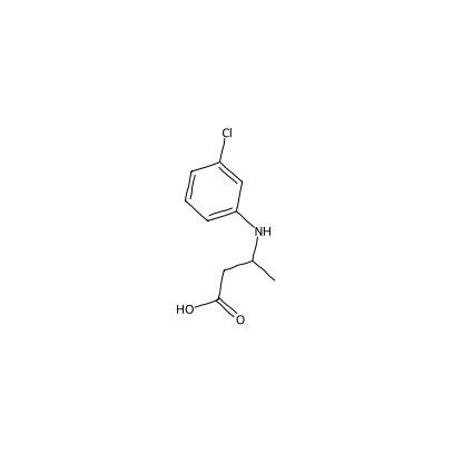 CC(CC(=O)O)Nc1cccc(Cl)c1